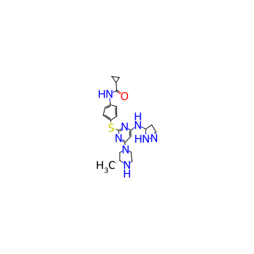 C[C@@H]1CN(c2cc(NC3CC=NN3)nc(Sc3ccc(NC(=O)C4CC4)cc3)n2)CCN1